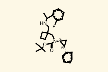 CC(NCC1(CN(C(=O)OC(C)(C)C)[C@H]2C[C@@H]2c2ccccc2)CCC1)c1ccccc1F